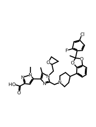 Cc1c(-c2cc(C(=O)O)nn2C)nc(CN2CCC(c3cccc4c3OC(C)(c3ccc(Cl)cc3F)O4)CC2)n1CC1CCO1